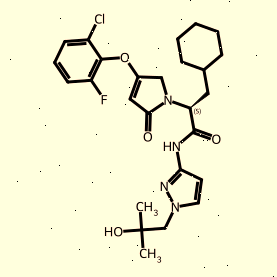 CC(C)(O)Cn1ccc(NC(=O)[C@H](CC2CCCCC2)N2CC(Oc3c(F)cccc3Cl)=CC2=O)n1